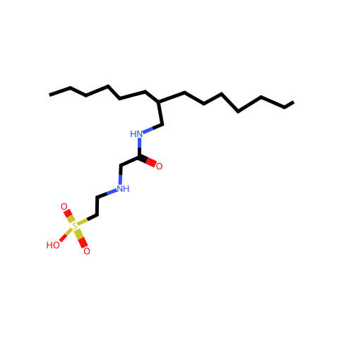 CCCCCCCC(CCCCCC)CNC(=O)CNCCS(=O)(=O)O